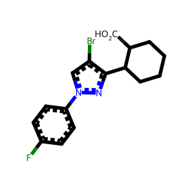 O=C(O)C1CCCCC1c1nn(-c2ccc(F)cc2)cc1Br